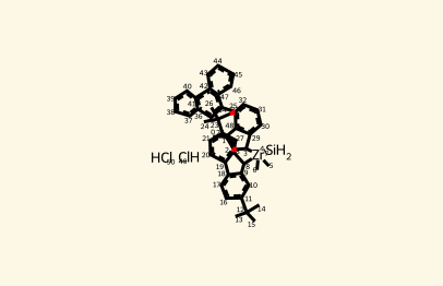 CC1=C[CH]([Zr]([CH3])([CH3])(=[SiH2])[CH]2c3cc(C(C)(C)C)ccc3-c3ccc(C(C)(C)C)cc32)c2cccc(-c3cc4ccccc4c4ccccc34)c21.Cl.Cl